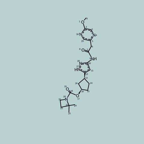 COc1cnc(CC(=O)Nc2cc([C@H]3CC[C@@H](OC(=O)N4CCC4(C)C)C3)[nH]n2)cn1